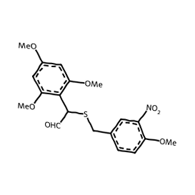 COc1cc(OC)c(C(C=O)SCc2ccc(OC)c([N+](=O)[O-])c2)c(OC)c1